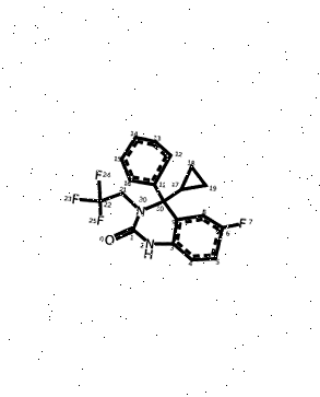 O=C1Nc2ccc(F)cc2C(c2ccccc2)(C2CC2)N1CC(F)(F)F